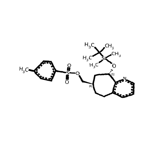 Cc1ccc(S(=O)(=O)OC[C@@H]2CCc3cccnc3[C@@H](O[Si](C)(C)C(C)(C)C)C2)cc1